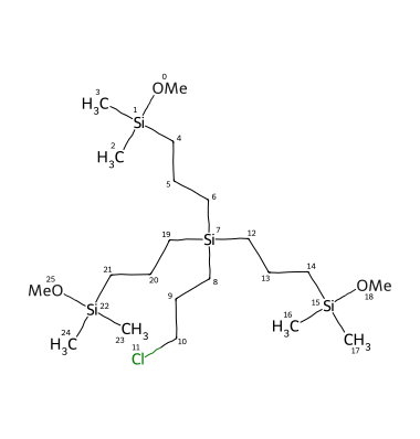 CO[Si](C)(C)CCC[Si](CCCCl)(CCC[Si](C)(C)OC)CCC[Si](C)(C)OC